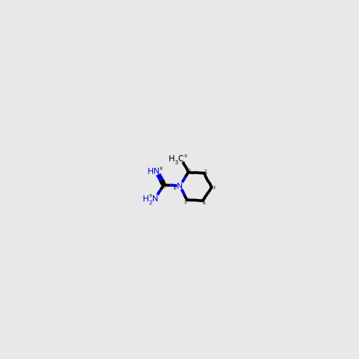 CC1[CH]CCCN1C(=N)N